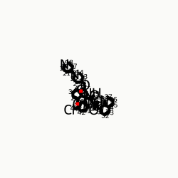 COc1ccccc1C1(NC(=O)OC2CCN(c3ccncc3)CC2)C(=O)N(S(=O)(=O)c2cccc3cccnc23)c2ccc(Cl)cc21